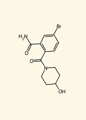 NC(=O)c1cc(Br)ccc1C(=O)N1CCC(O)CC1